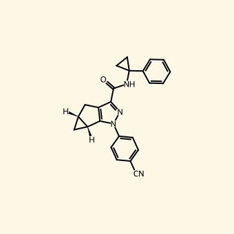 N#Cc1ccc(-n2nc(C(=O)NC3(c4ccccc4)CC3)c3c2[C@@H]2C[C@@H]2C3)cc1